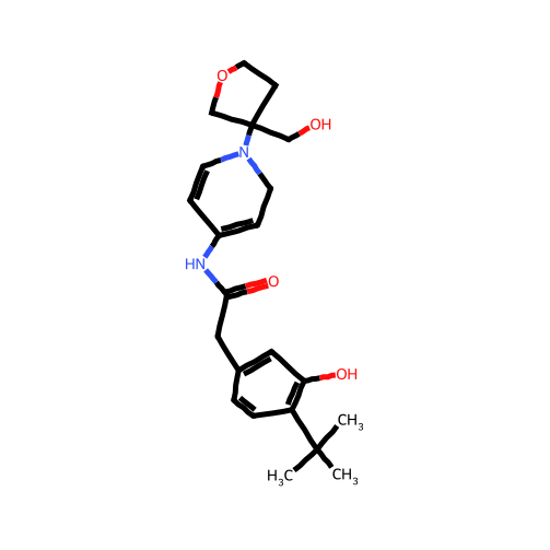 CC(C)(C)c1ccc(CC(=O)NC2=CCN(C3(CO)CCOC3)C=C2)cc1O